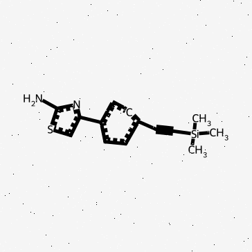 C[Si](C)(C)C#Cc1ccc(-c2csc(N)n2)cc1